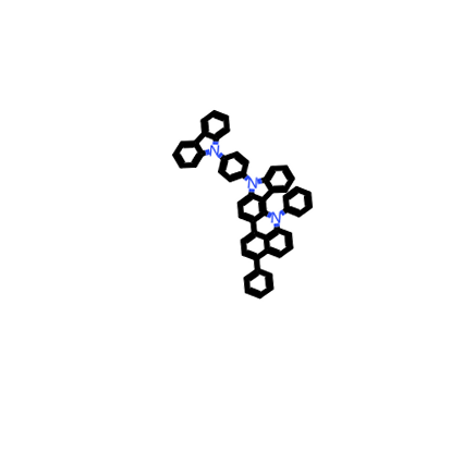 c1ccc(-c2ccc3c4c(cccc24)N(c2ccccc2)c2c-3ccc3c2c2ccccc2n3-c2ccc(-n3c4ccccc4c4ccccc43)cc2)cc1